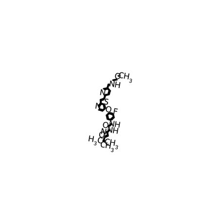 COCCNCc1ccc(-c2cc3nccc(Oc4ccc(NC(=O)Nc5cc(C(C)(C)C)on5)cc4F)c3s2)nc1